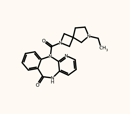 CCN1CCC2(C1)CN(C(=O)N1c3ccccc3C(=O)Nc3cccnc31)C2